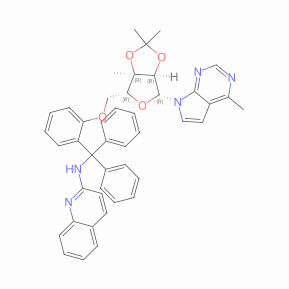 Cc1ncnc2c1ccn2[C@@H]1O[C@H](COc2ccccc2C(Nc2ccc3ccccc3n2)(c2ccccc2)c2ccccc2)[C@@]2(C)OC(C)(C)O[C@@H]12